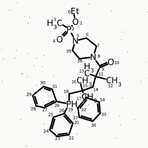 CCOP(C)(=O)N1CCN(C(=O)C(C)(C)CC(C)(C)C[PH](c2ccccc2)(c2ccccc2)c2ccccc2)CC1